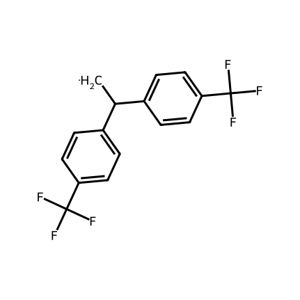 [CH2]C(c1ccc(C(F)(F)F)cc1)c1ccc(C(F)(F)F)cc1